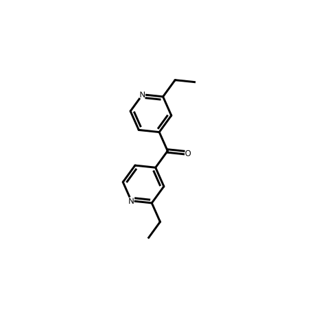 CCc1cc(C(=O)c2ccnc(CC)c2)ccn1